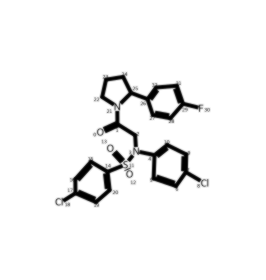 O=C(CN(c1ccc(Cl)cc1)S(=O)(=O)c1ccc(Cl)cc1)N1CCCC1c1ccc(F)cc1